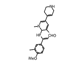 COc1ccc(/C(=C/C=O)PC2C(C)=CC(C3=CCNCC3)=CN2C)cc1C